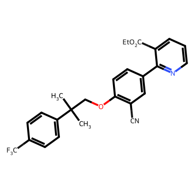 CCOC(=O)c1cccnc1-c1ccc(OCC(C)(C)c2ccc(C(F)(F)F)cc2)c(C#N)c1